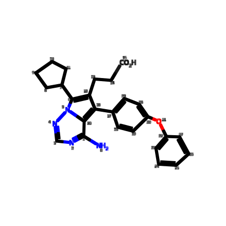 Nc1ncnn2c(C3CCCC3)c(CCC(=O)O)c(-c3ccc(Oc4ccccc4)cc3)c12